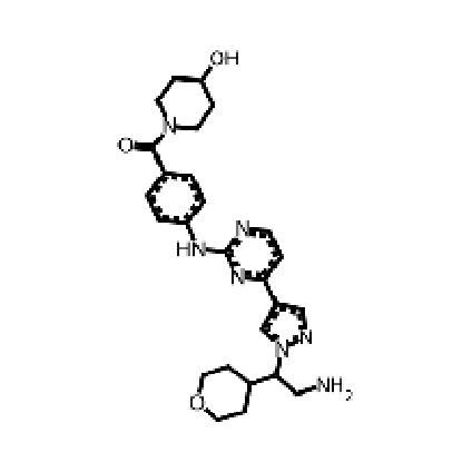 NCC(C1CCOCC1)n1cc(-c2ccnc(Nc3ccc(C(=O)N4CCC(O)CC4)cc3)n2)cn1